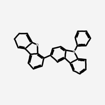 C1=c2oc3c(-c4ccc5c(c4)c4ccccc4n5-c4ccccc4)cccc3c2=CCC1